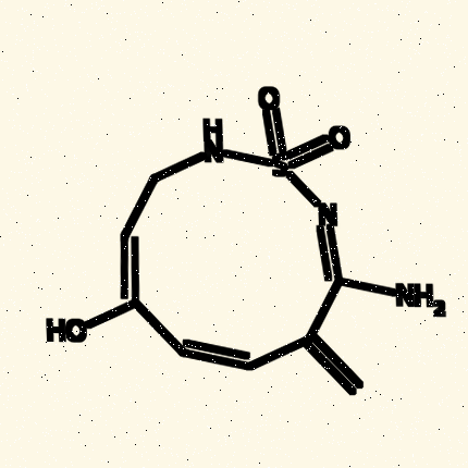 C=C1/C=C\C(O)=C/CNS(=O)(=O)/N=C\1N